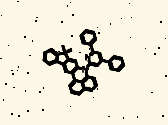 CC1(C)c2ccccc2-c2cc3c(cc21)N(c1cc(-c2ccccc2)cc(-c2ccccc2)n1)c1cccc2cccc-3c12